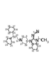 CCn1c(=NC#N)n(C2CCN(CCC(c3ccccc3)c3ccccc3)CC2)c2ccccc21